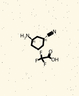 N#C[C@@H]1CCC[C@@H](N)C1.O=C(O)C(F)(F)F